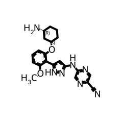 COc1cccc(O[C@H]2CCC[C@@H](N)C2)c1-c1cc(Nc2cnc(C#N)cn2)n[nH]1